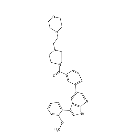 COc1ccccc1-c1c[nH]c2ncc(-c3cccc(C(=O)N4CCN(CCN5CCOCC5)CC4)c3)cc12